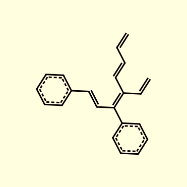 C=CC=CC(C=C)=C(C=Cc1ccccc1)c1ccccc1